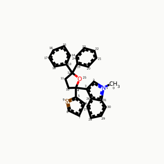 Cn1cc(C2(c3cccs3)CCC(c3ccccc3)(c3ccccc3)O2)c2ccccc21